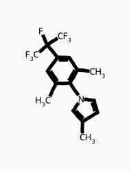 Cc1ccn(-c2c(C)cc(C(F)(C(F)(F)F)C(F)(F)F)cc2C)c1